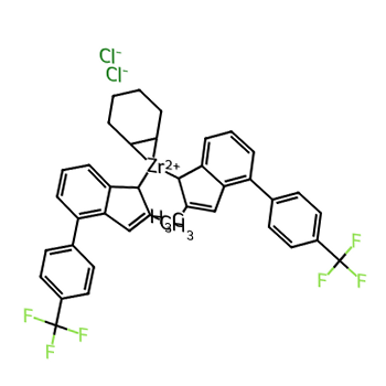 CC1=Cc2c(-c3ccc(C(F)(F)F)cc3)cccc2[CH]1[Zr+2]1([CH]2C(C)=Cc3c(-c4ccc(C(F)(F)F)cc4)cccc32)[CH]2CCCC[CH]21.[Cl-].[Cl-]